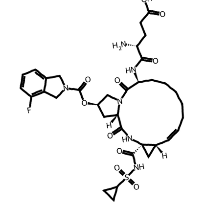 N[C@H](CCC(=O)O)C(=O)N[C@H]1CCCCC/C=C\[C@@H]2C[C@@]2(C(=O)NS(=O)(=O)C2CC2)NC(=O)[C@@H]2C[C@@H](OC(=O)N3Cc4cccc(F)c4C3)CN2C1=O